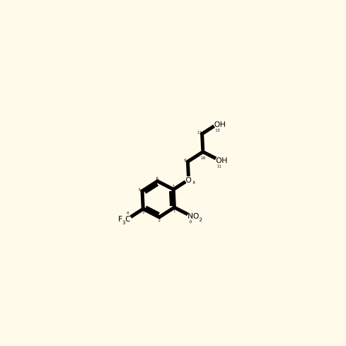 O=[N+]([O-])c1cc(C(F)(F)F)ccc1OCC(O)CO